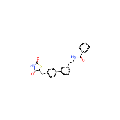 O=C1NC(=O)C(Cc2ccc(-c3cccc(CCNC(=O)c4ccccc4)c3)cc2)S1